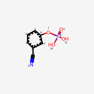 N#Cc1cccc(OP(=O)(O)O)c1